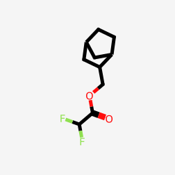 O=C(OCC1CC2CCC1C2)C(F)F